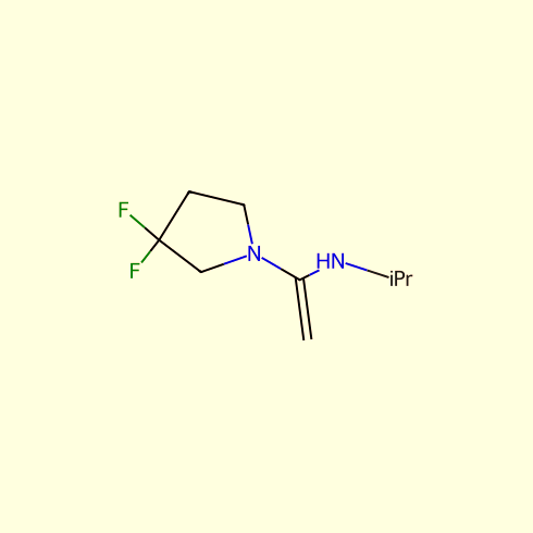 C=C(NC(C)C)N1CCC(F)(F)C1